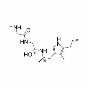 C=CCc1[nH]cc(C[C@@H](C)N[C@H](O)CNC(=O)CNC)c1C